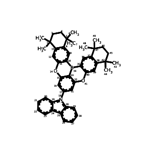 CC1(C)CCC(C)(C)c2cc3c(cc21)Oc1cc(-n2c4ccccc4c4ccccc42)cc2c1B3c1cc3c(cc1O2)C(C)(C)CCC3(C)C